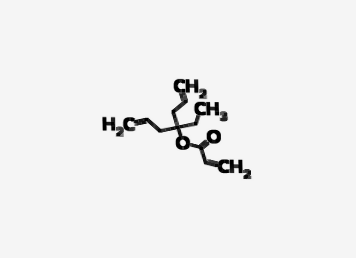 C=CCC(CC)(CC=C)OC(=O)C=C